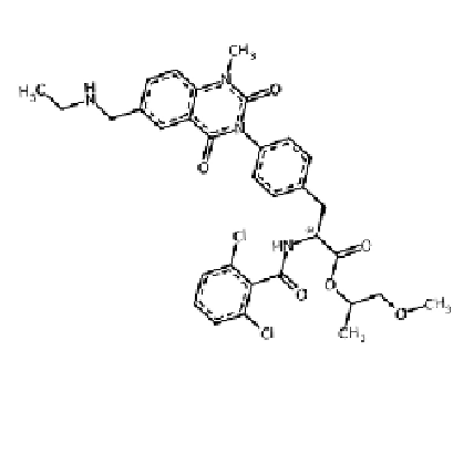 CCNCc1ccc2c(c1)c(=O)n(-c1ccc(C[C@H](NC(=O)c3c(Cl)cccc3Cl)C(=O)OC(C)COC)cc1)c(=O)n2C